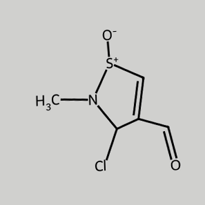 CN1C(Cl)C(C=O)=C[S+]1[O-]